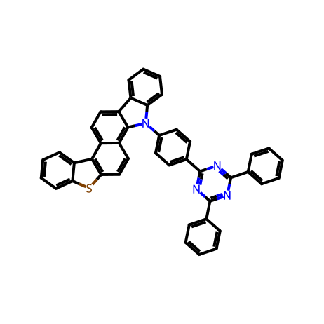 c1ccc(-c2nc(-c3ccccc3)nc(-c3ccc(-n4c5ccccc5c5ccc6c(ccc7sc8ccccc8c76)c54)cc3)n2)cc1